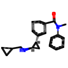 CN(C(=O)c1cccc([C@@H]2C[C@H]2NCC2CC2)c1)c1ccccc1